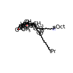 CCCCCCCC/C=C\CCCCCCCC(=O)OCCC(CCOC(=O)CCCCCCCCCCCCCCC(C)C)OC(=O)CN(C)CC(=O)OCC(=O)[C@@]1(O)[C@H](C)C[C@H]2[C@@H]3CCC4=CC(=O)C=C[C@]4(C)[C@@]3(F)[C@@H](O)C[C@@]21C